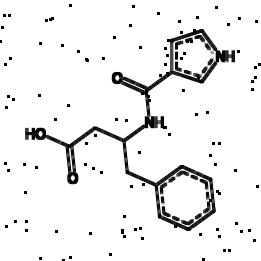 O=C(O)CC(Cc1ccccc1)NC(=O)c1cc[nH]c1